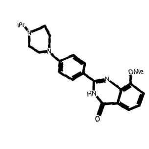 COc1cccc2c(=O)[nH]c(-c3ccc(N4CCN(C(C)C)CC4)cc3)nc12